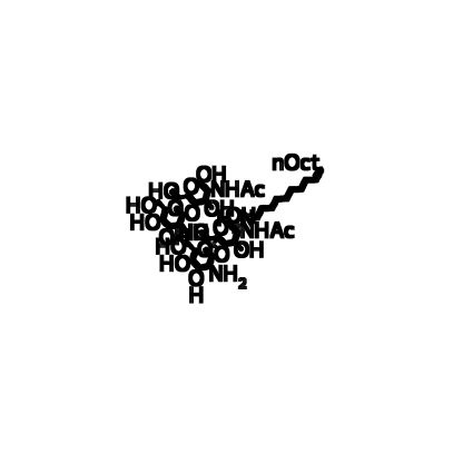 CC(=O)N[C@@H]1[C@@H](O)[C@H](O[C@@H]2O[C@H](CO)[C@@H](O)[C@H](O)[C@H]2N)[C@@H](CO)O[C@H]1O.CC(=O)N[C@@H]1[C@@H](O)[C@H](O[C@@H]2O[C@H](CO)[C@@H](O)[C@H](O)[C@H]2N)[C@@H](CO)O[C@H]1O.CCCCCCCC/C=C\CCCCCCCCN